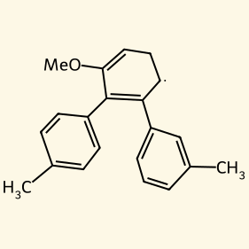 COC1=CC[CH]C(c2cccc(C)c2)=C1c1ccc(C)cc1